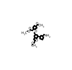 CCOC(=O)Cc1ccc(C(C)=O)cc1OCc1cc(-c2cccc(CN)c2)c2oc(COC)cc2c1